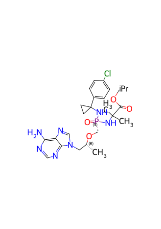 CC(C)OC(=O)C(C)(C)N[P@](=O)(CO[C@H](C)Cn1cnc2c(N)ncnc21)NC1(c2ccc(Cl)cc2)CC1